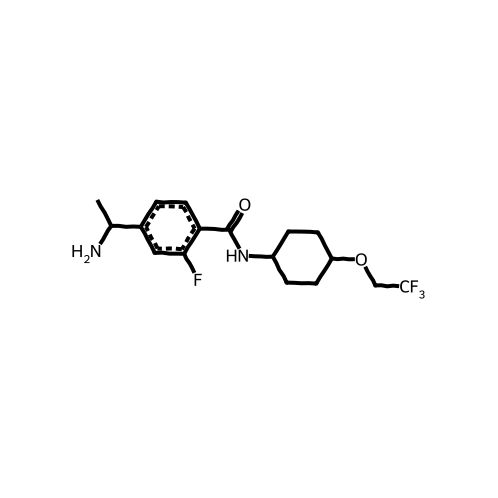 CC(N)c1ccc(C(=O)NC2CCC(OCC(F)(F)F)CC2)c(F)c1